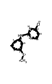 CSc1cccc(Nc2nccc(Cl)n2)c1